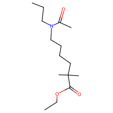 CCCN(CCCCC(C)(C)C(=O)OCC)C(C)=O